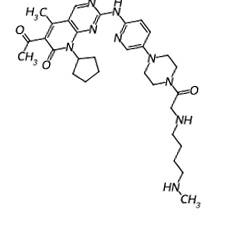 CNCCCCNCC(=O)N1CCN(c2ccc(Nc3ncc4c(C)c(C(C)=O)c(=O)n(C5CCCC5)c4n3)nc2)CC1